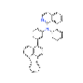 c1ccc(N(c2cccc(-c3ccc4c5c(cccc35)-c3ccccc3-4)c2)c2nccc3ccccc23)cc1